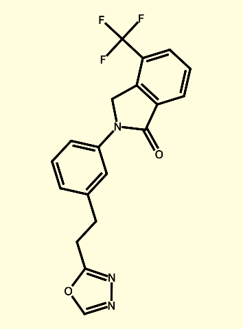 O=C1c2cccc(C(F)(F)F)c2CN1c1cccc(CCc2nnco2)c1